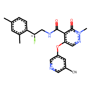 Cc1ccc([C@H](F)CNC(=O)c2c(Oc3cncc(C#N)c3)cnn(C)c2=O)c(C)c1